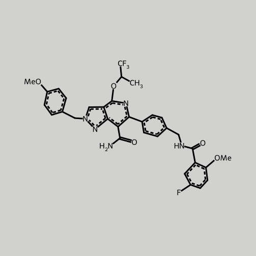 COc1ccc(Cn2cc3c(OC(C)C(F)(F)F)nc(-c4ccc(CNC(=O)c5cc(F)ccc5OC)cc4)c(C(N)=O)c3n2)cc1